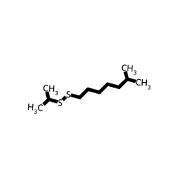 CC(C)CCCCCSSC(C)C